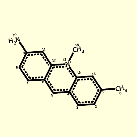 Cc1ccc2cc3ccc(N)cc3[n+](C)c2c1